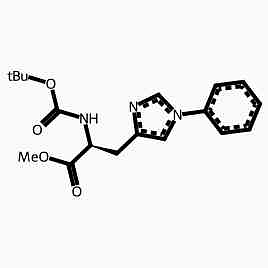 COC(=O)[C@H](Cc1cn(-c2ccccc2)cn1)NC(=O)OC(C)(C)C